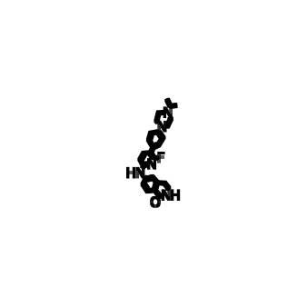 CC(C)N1CCN(c2ccc(-c3ccc(Nc4ccc5c(c4)CCNC5=O)nc3F)cc2)CC1